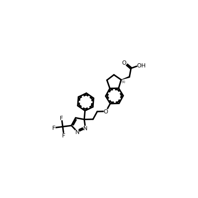 O=C(O)C[C@@H]1CCc2cc(OCCC3(c4ccccc4)C=C(C(F)(F)F)N=N3)ccc21